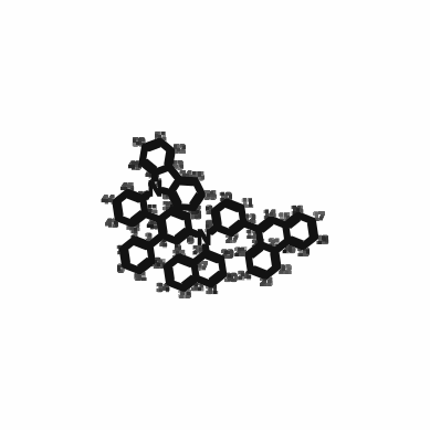 c1ccc(-c2cc(N(c3cccc(-c4cc5ccccc5c5ccccc45)c3)c3cccc4ccccc34)ccc2-c2ccccc2-n2c3ccccc3c3ccccc32)cc1